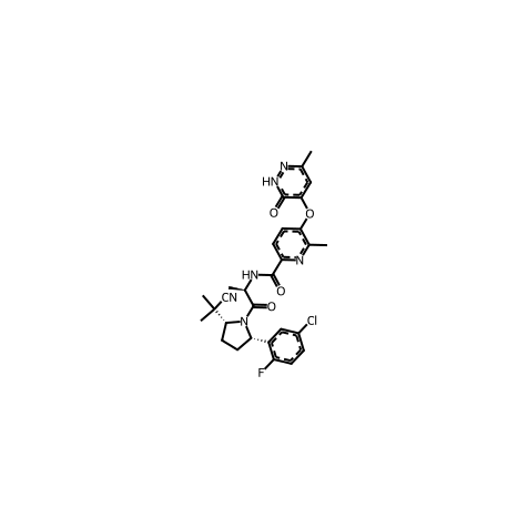 Cc1cc(Oc2ccc(C(=O)N[C@H](C)C(=O)N3[C@H](c4cc(Cl)ccc4F)CC[C@@H]3C(C)(C)C#N)nc2C)c(=O)[nH]n1